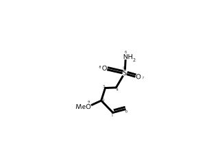 C=CC(CCS(N)(=O)=O)OC